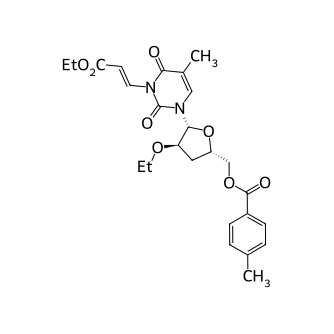 CCOC(=O)/C=C/n1c(=O)c(C)cn([C@@H]2O[C@H](COC(=O)c3ccc(C)cc3)C[C@H]2OCC)c1=O